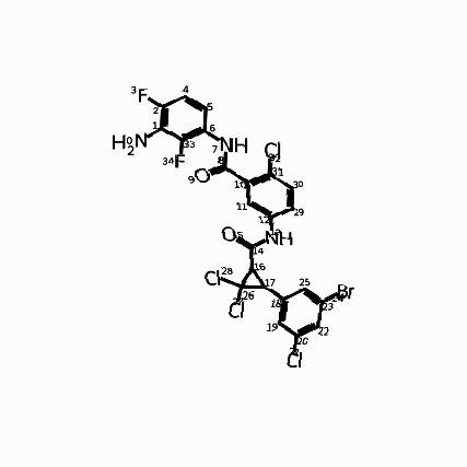 Nc1c(F)ccc(NC(=O)c2cc(NC(=O)C3C(c4cc(Cl)cc(Br)c4)C3(Cl)Cl)ccc2Cl)c1F